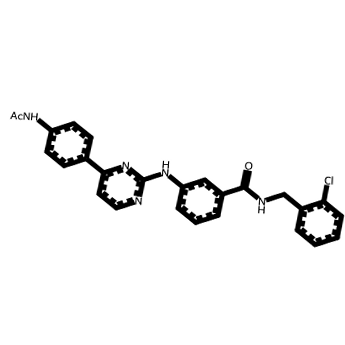 CC(=O)Nc1ccc(-c2ccnc(Nc3cccc(C(=O)NCc4ccccc4Cl)c3)n2)cc1